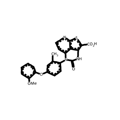 COc1ccccc1Oc1ccc(N2C(=O)Nc3c(C(=O)O)sc4nccc2c34)c(C)c1